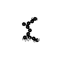 C=Cc1c(/C=C(\C)c2ccc3c(c2)oc2ccncc23)c2cc(-c3cccc(-c4ccc5c(c4)c4cc(-c6ccc7c(c6)oc6ccncc67)ccc4n5-c4ccccc4)c3)ccc2n1-c1ccccc1